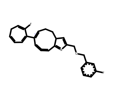 FC1=CCC=CC=C1/C1=C/CCC2C=C(COCc3cccc(F)c3)N=C2C=C=C1